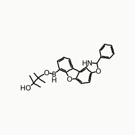 CC(C)(O)C(C)(C)OBc1cccc2c1oc1ccc3c(c12)NC(c1ccccc1)O3